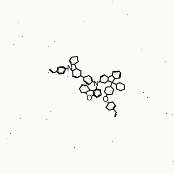 C=CC1=CCC(OC2CCC(C3(C4CCCCC4)C4C=CC=CC4C4C=CC(N(C5=CCC(C6C=CC7C(C6)C6CCCC=C6N7c6ccc(C=C)cc6)C=C5)c5cccc6c5C5C=CCCC5O6)CC43)CC2)CC1